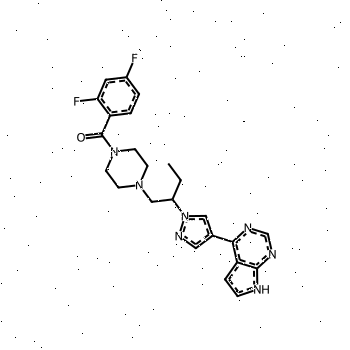 CCC(CN1CCN(C(=O)c2ccc(F)cc2F)CC1)n1cc(-c2ncnc3[nH]ccc23)cn1